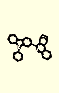 c1ccc(-n2c3ccccc3c3ccc(-c4nc5ccccc5c5c4C4CCC5C4)cc32)cc1